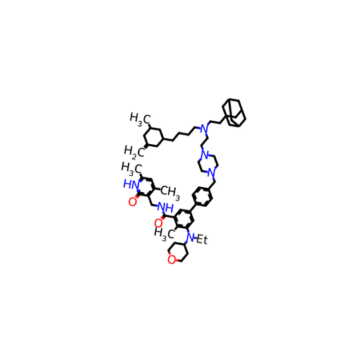 C=C1CC(C)CC(CCCCN(CCN2CCN(Cc3ccc(-c4cc(C(=O)NCc5c(C)cc(C)[nH]c5=O)c(C)c(N(CC)C5CCOCC5)c4)cc3)CC2)CCC23CC4CC(CC(C4)C2)C3)C1